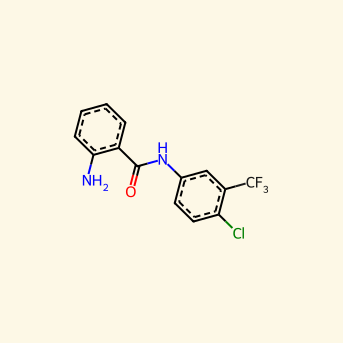 Nc1ccccc1C(=O)Nc1ccc(Cl)c(C(F)(F)F)c1